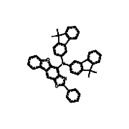 CC1(C)c2ccccc2-c2cc(N(c3ccc4c(c3)-c3ccccc3C4(C)C)c3c4nc(-c5ccccc5)oc4cc4c3oc3ccccc34)ccc21